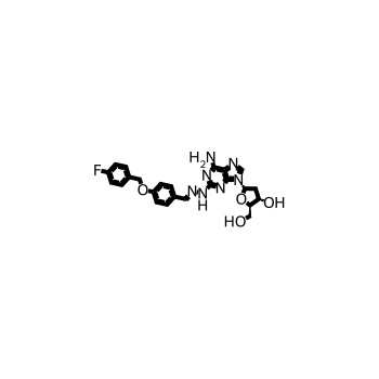 Nc1nc(N/N=C/c2ccc(OCc3ccc(F)cc3)cc2)nc2c1ncn2[C@H]1C[C@@H](O)[C@@H](CO)O1